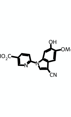 COc1cc2c(C#N)cn(-c3ccc(C(=O)O)cn3)c2cc1O